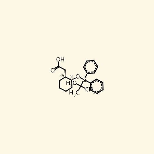 CC(C)(C)[Si](O[C@H]1CCCC[C@H]1CC(=O)O)(c1ccccc1)c1ccccc1